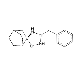 c1ccc(CN2NO[C@]3(CC4CCC3CC4)N2)cc1